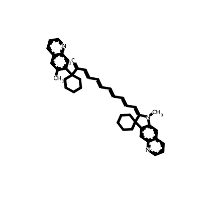 C=C(/C=C/C=C/C=C/C=C/C=C1/N(C)c2cc3cccnc3cc2C12CCCCC2)C1(c2cc3ncccc3cc2C)CCCCC1